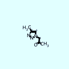 CC(=O)Cn1cc(C)nn1